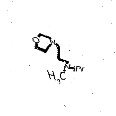 CC(C)N(C)CCCN1CCOCC1